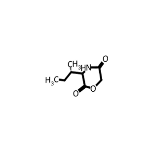 CC[C@H](C)C1NC(=O)COC1=O